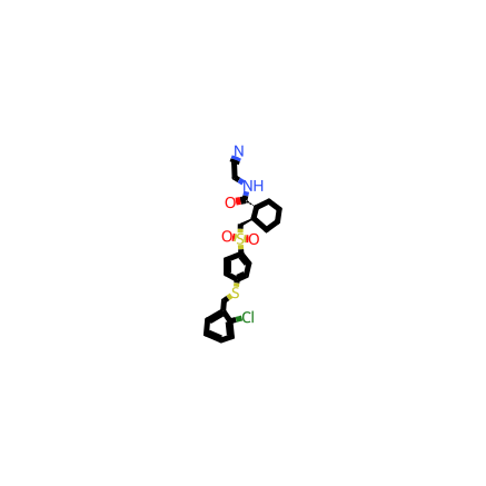 N#CCNC(=O)[C@@H]1CCCC[C@H]1CS(=O)(=O)c1ccc(SCc2ccccc2Cl)cc1